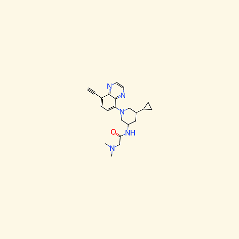 C#Cc1ccc(N2CC(NC(=O)CN(C)C)CC(C3CC3)C2)c2nccnc12